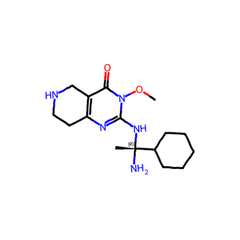 COn1c(N[C@@](C)(N)C2CCCCC2)nc2c(c1=O)CNCC2